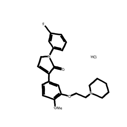 COc1ccc(C2=CCN(c3cccc(F)c3)C2=O)cc1OCCN1CCCCC1.Cl